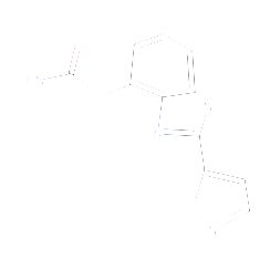 NC(=O)Oc1cccc2[nH]c(-c3ccno3)nc12